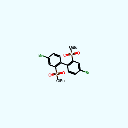 CC(C)COS(=O)(=O)c1cc(Br)ccc1-c1ccc(Br)cc1S(=O)(=O)OCC(C)C